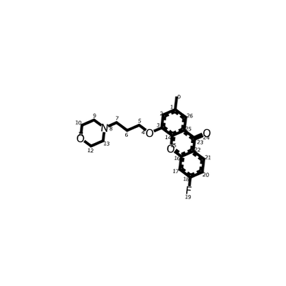 Cc1cc(OCCCN2CCOCC2)c2oc3cc(F)ccc3c(=O)c2c1